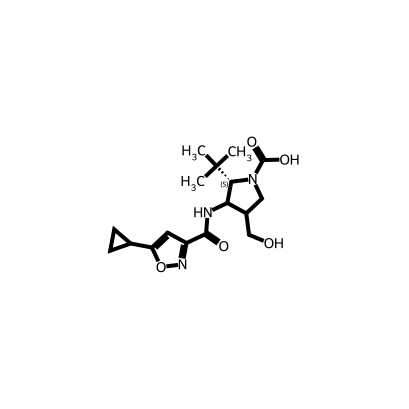 CC(C)(C)[C@H]1C(NC(=O)c2cc(C3CC3)on2)C(CO)CN1C(=O)O